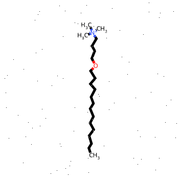 CCCCCCCCCCCCCCOCC[CH]C[N+](C)(C)C